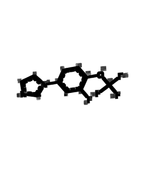 Fc1cc(-n2[c]ncc2)ccc1OC(F)(F)F